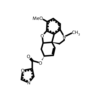 COc1ccc2c3c1OC1C[C@@H](OC(=O)c4cnco4)C=C[C@@]31CCN2C